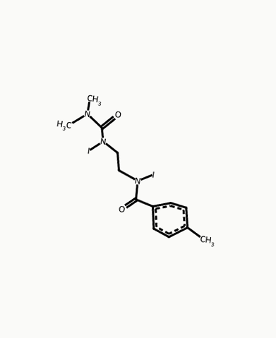 Cc1ccc(C(=O)N(I)CCN(I)C(=O)N(C)C)cc1